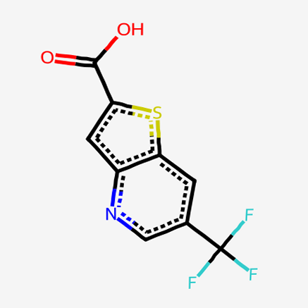 O=C(O)c1cc2ncc(C(F)(F)F)cc2s1